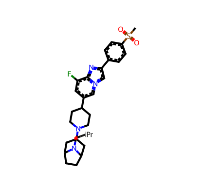 CC(C)CN1C2CCC1CC(N1CCC(c3cc(F)c4nc(-c5ccc(S(C)(=O)=O)cc5)cn4c3)CC1)C2